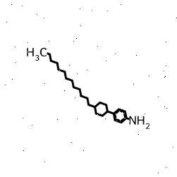 CCCCCCCCCCCCCC1CCC(c2ccc(N)cc2)CC1